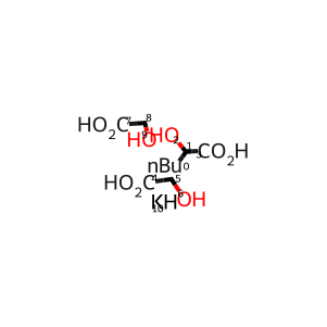 CCCCC(O)C(=O)O.O=C(O)CO.O=C(O)CO.[KH]